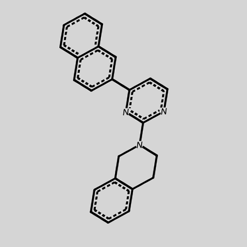 c1ccc2c(c1)CCN(c1nccc(-c3ccc4ccccc4c3)n1)C2